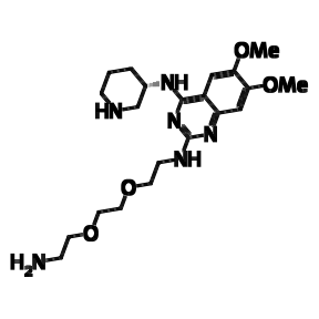 COc1cc2nc(NCCOCCOCCN)nc(N[C@H]3CCCNC3)c2cc1OC